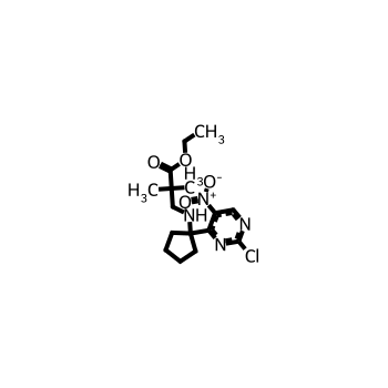 CCOC(=O)C(C)(C)CNC1(c2nc(Cl)ncc2[N+](=O)[O-])CCCC1